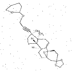 C[C@]12CC=C3[C@@H](CC[C@@]45CC6(CC[C@@]34O5)OCCO6)[C@@H]1CC[C@@]2(O)C#CCOC1CCCCO1